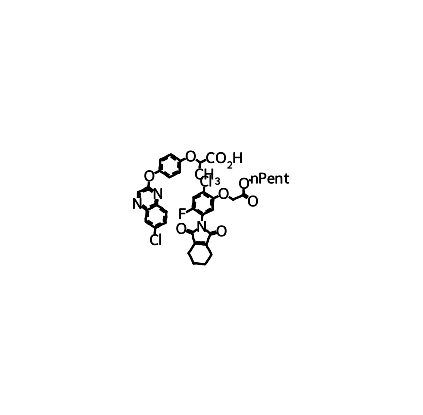 CC(Oc1ccc(Oc2cnc3cc(Cl)ccc3n2)cc1)C(=O)O.CCCCCOC(=O)COc1cc(N2C(=O)C3=C(CCCC3)C2=O)c(F)cc1Cl